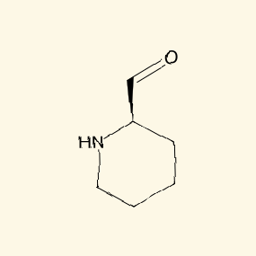 O=C[C@H]1CCCCN1